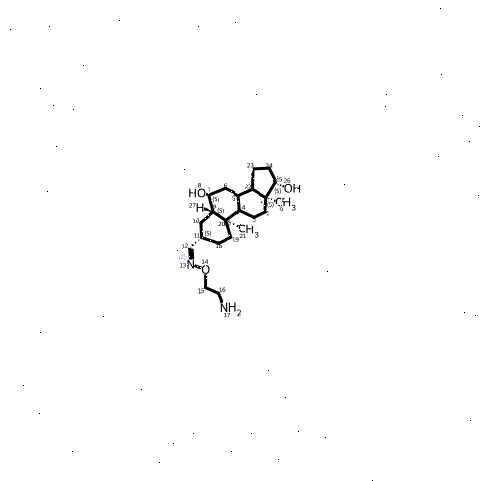 C[C@]12CCC3C(C[C@H](O)[C@H]4C[C@@H](/C=N\OCCN)CC[C@]34C)C1CC[C@@H]2O